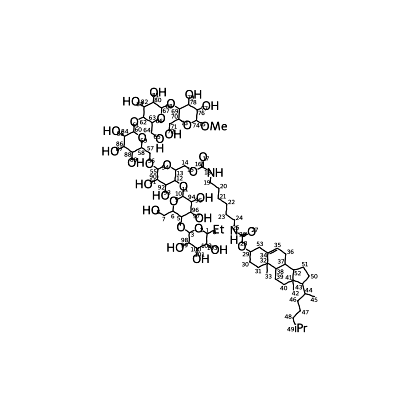 CCC1OC(OC2C(CO)OC(OC3C(COC(=O)NCCCCCCNC(=O)OC4CCC5(C)C(=CCC6C5CCC5(C)C(C(C)CCCC(C)C)CCC65)C4)OC(OCC4OC(OC5C(CO)OC(OC6C(CO)OC(OC)C(O)C6O)C(O)C5O)C(O)C(O)C4O)C(O)C3O)C(O)C2O)C(O)C(O)C1O